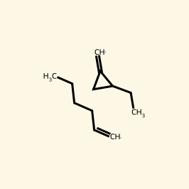 [CH]=C1CC1CC.[CH]=CCCCC